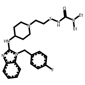 CCN(CC)C(=O)NSCCN1CCC(Nc2nc3ccccc3n2Cc2ccc(F)cc2)CC1